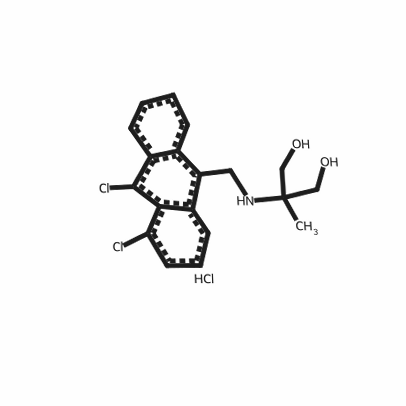 CC(CO)(CO)NCc1c2ccccc2c(Cl)c2c(Cl)cccc12.Cl